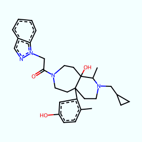 Cc1ccc(O)cc1C12CCN(C(=O)Cn3ncc4ccccc43)CCC1(O)C(C)N(CC1CC1)CC2